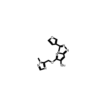 Cn1ncnc1COc1nn2c(-c3ccoc3)nnc2cc1C(C)(C)C